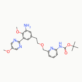 COc1cnc(-c2cc(CCOCc3cccc(NC(=O)OC(C)(C)C)n3)cc(N)c2OC)nc1